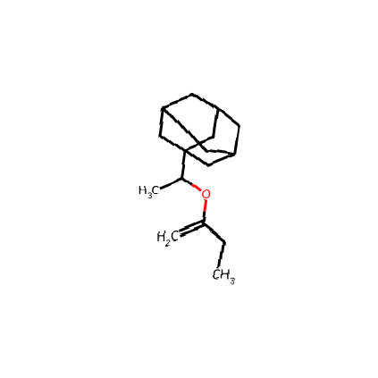 C=C(CC)OC(C)C12CC3CC(CC(C3)C1)C2